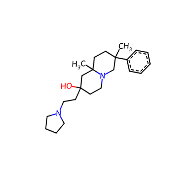 CC1(c2ccccc2)CCC2(C)CC(O)(CCN3CCCC3)CCN2C1